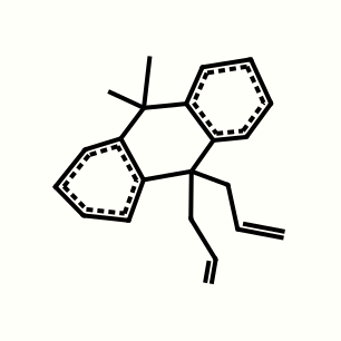 C=CCC1(CC=C)c2ccccc2C(C)(C)c2ccccc21